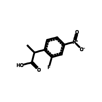 CC(C(=O)O)c1ccc([N+](=O)[O-])cc1F